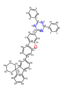 c1ccc(-c2nc(-c3ccccc3)nc(-c3ccc4c(c3)oc3cc(-c5ccc6c(c5)C5(CCCCC5)c5ccccc5-6)ccc34)n2)cc1